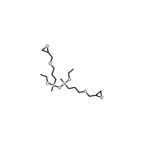 CCO[Si](C)(CCCOCC1CO1)O[Si](C)(CCCOCC1CO1)OCC